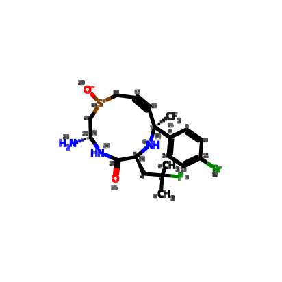 CC(C)(F)C[C@@H]1N[C@@](c2ccc(Br)cc2)(C(F)(F)F)C#CC[S+]([O-])C[C@@H](N)NC1=O